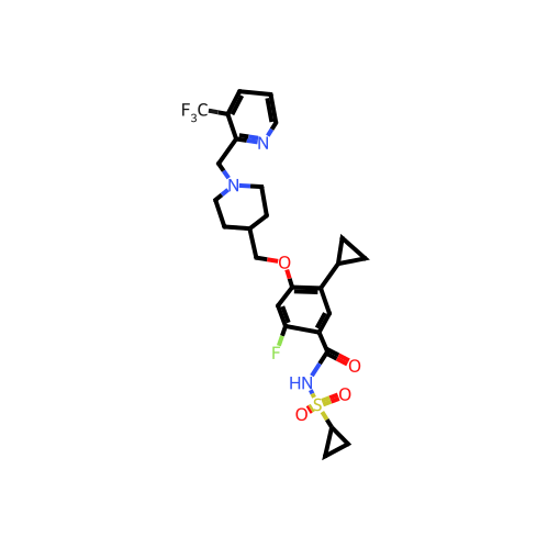 O=C(NS(=O)(=O)C1CC1)c1cc(C2CC2)c(OCC2CCN(Cc3ncccc3C(F)(F)F)CC2)cc1F